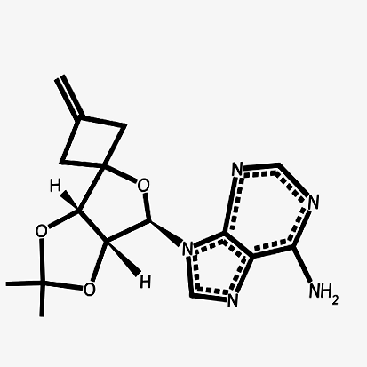 C=C1CC2(C1)O[C@@H](n1cnc3c(N)ncnc31)[C@@H]1OC(C)(C)O[C@@H]12